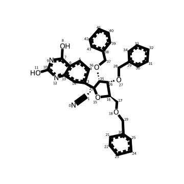 N#C[C@@]1(c2ccc3c(O)nc(O)nc3c2)O[C@H](COCc2ccccc2)[C@@H](OCc2ccccc2)[C@H]1OCc1ccccc1